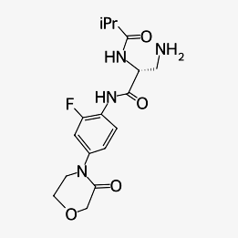 CC(C)C(=O)N[C@H](CN)C(=O)Nc1ccc(N2CCOCC2=O)cc1F